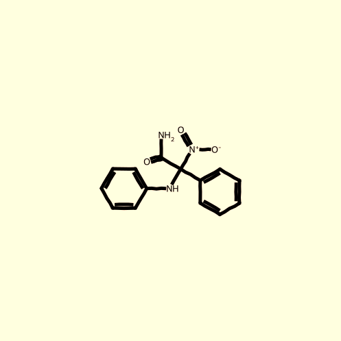 NC(=O)C(Nc1ccccc1)(c1ccccc1)[N+](=O)[O-]